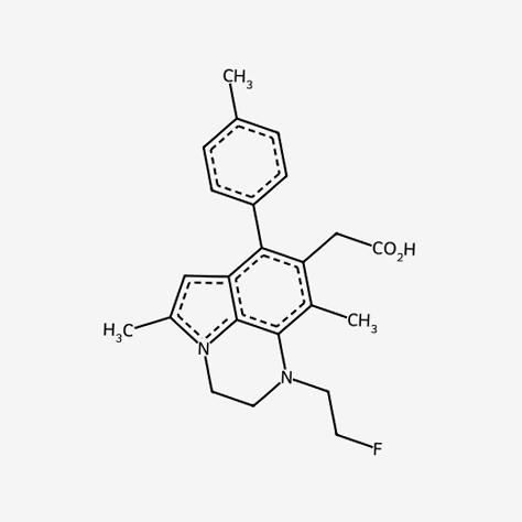 Cc1ccc(-c2c(CC(=O)O)c(C)c3c4c2cc(C)n4CCN3CCF)cc1